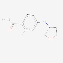 CNC(=O)c1ccc(N[C@H]2CCOC2)cc1F